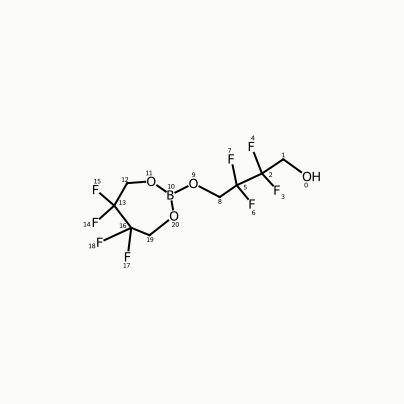 OCC(F)(F)C(F)(F)COB1OCC(F)(F)C(F)(F)CO1